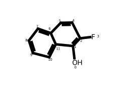 Oc1c(F)ccc2ccccc12